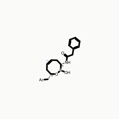 CC(=O)C[C@@H]1C/C=C\C[C@H](NC(=O)Cc2ccccc2)B(O)O1